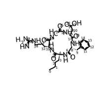 CCCC[C@@H]1NC(=O)[C@@H](Cc2ccccc2)NC(=O)[C@H](CC(=O)O)NC(=O)CNC(=O)[C@H](CCCNC(=N)N)NC1=O